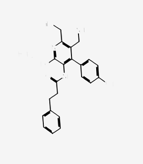 Cc1ccc(-c2c(CN)c(CC(C)C)nc(C)c2NC(=O)CCc2ccccc2)cc1.Cl.Cl